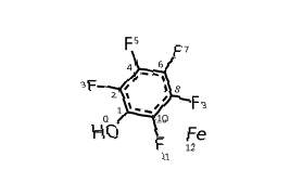 Oc1c(F)c(F)c(F)c(F)c1F.[Fe]